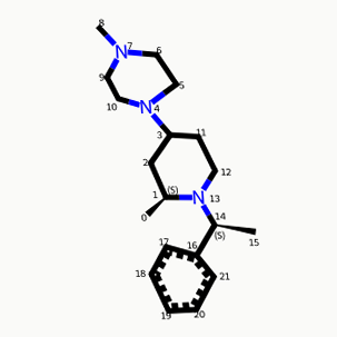 C[C@H]1CC(N2CCN(C)CC2)CCN1[C@@H](C)c1ccccc1